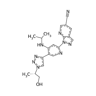 CC(C)Nc1cc(-n2ncc3cc(C#N)cnc32)ncc1-c1cn([C@@H](C)CO)nn1